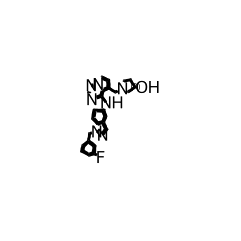 O[C@@H]1CCN(Cc2ccn3ncnc(Nc4ccc5c(cnn5Cc5cccc(F)c5)c4)c23)C1